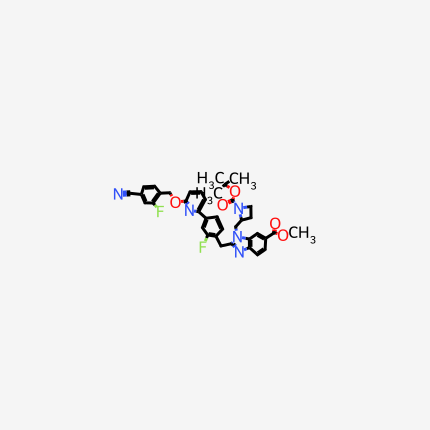 COC(=O)c1ccc2nc(Cc3ccc(-c4cccc(OCc5ccc(C#N)cc5F)n4)cc3F)n(CC3CCN3C(=O)OC(C)(C)C)c2c1